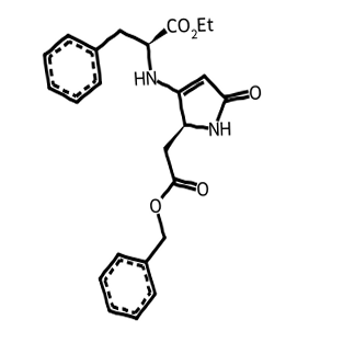 CCOC(=O)[C@H](Cc1ccccc1)NC1=CC(=O)N[C@H]1CC(=O)OCc1ccccc1